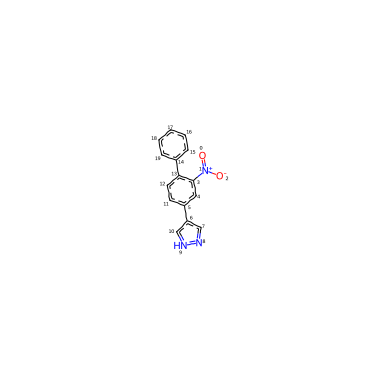 O=[N+]([O-])c1cc(-c2cn[nH]c2)ccc1-c1ccccc1